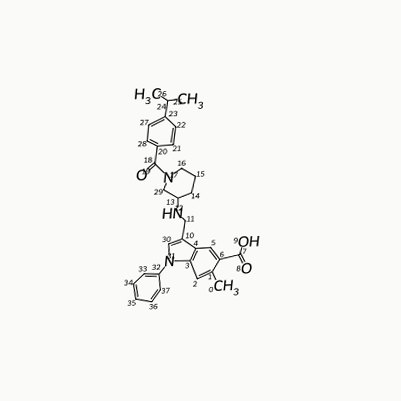 Cc1cc2c(cc1C(=O)O)c(CNC1CCCN(C(=O)c3ccc(C(C)C)cc3)C1)cn2-c1ccccc1